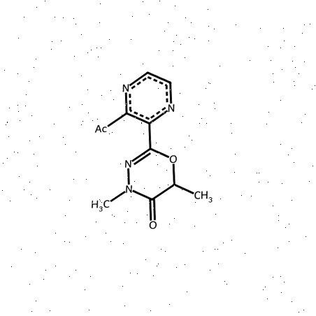 CC(=O)c1nccnc1C1=NN(C)C(=O)C(C)O1